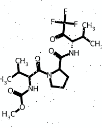 COC(=O)NC(C(=O)N1CCCC1C(=O)N[C@H](C(=O)C(F)(F)F)C(C)C)C(C)C